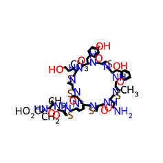 C=C(NC(=O)C(=C)NC(=O)c1csc(-c2ccc3c([n+]2[O-])-c2csc(n2)-c2csc(n2)C(C(C)CCO)NC(=O)C(Cc2ccc(O)cc2)NC(=O)c2csc(n2)C(C(O)c2ccccc2)NC(=O)c2nc(sc2C)C(CC(N)=O)NC(=O)c2csc-3n2)n1)C(=O)O